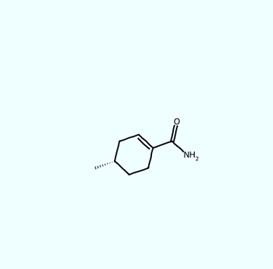 C[C@@H]1CC=C(C(N)=O)CC1